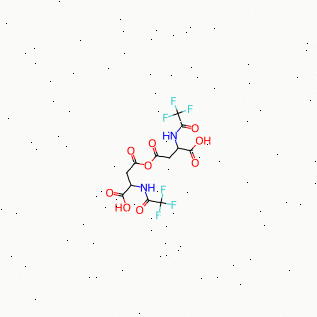 O=C(CC(NC(=O)C(F)(F)F)C(=O)O)OC(=O)CC(NC(=O)C(F)(F)F)C(=O)O